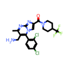 Cc1nc2nc(C(=O)N3CCC(C(F)(F)F)CC3)cn2c(-c2ccc(Cl)cc2Cl)c1CN